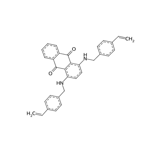 C=Cc1ccc(CNc2ccc(NCc3ccc(C=C)cc3)c3c2C(=O)c2ccccc2C3=O)cc1